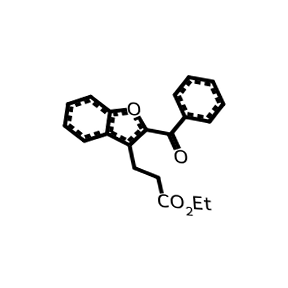 CCOC(=O)CCc1c(C(=O)c2ccccc2)oc2ccccc12